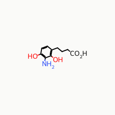 Nc1c(O)ccc(CCCC(=O)O)c1O